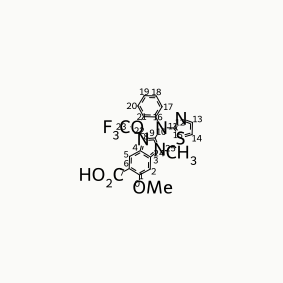 COc1cc2c(cc1C(=O)O)nc(N(c1nccs1)c1ccccc1OC(F)(F)F)n2C